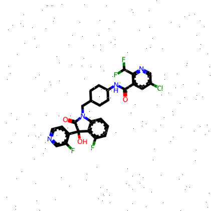 O=C(NC1CCC(CN2C(=O)C(O)(c3ccncc3F)c3c(F)cccc32)CC1)c1cc(Cl)cnc1C(F)F